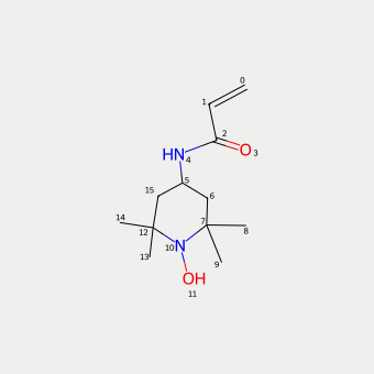 C=CC(=O)NC1CC(C)(C)N(O)C(C)(C)C1